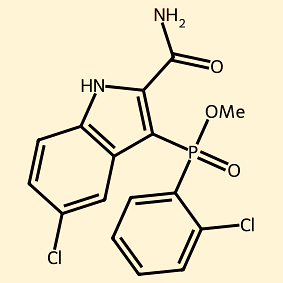 COP(=O)(c1ccccc1Cl)c1c(C(N)=O)[nH]c2ccc(Cl)cc12